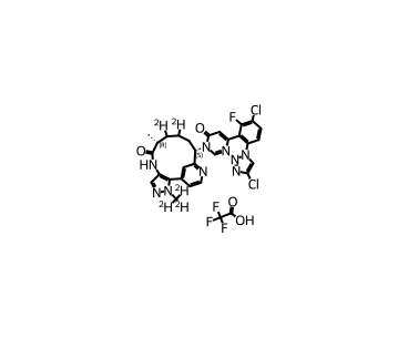 O=C(O)C(F)(F)F.[2H]C1C[C@H](n2cnc(-c3c(-n4cc(Cl)nn4)ccc(Cl)c3F)cc2=O)c2cc(ccn2)-c2c(cnn2C([2H])([2H])[2H])NC(=O)[C@H](C)C1[2H]